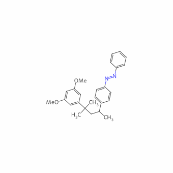 COc1cc(OC)cc(C(C)(C)CC(C)c2ccc(N=Nc3ccccc3)cc2)c1